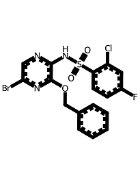 O=S(=O)(Nc1ncc(Br)nc1OCc1ccccc1)c1ccc(F)cc1Cl